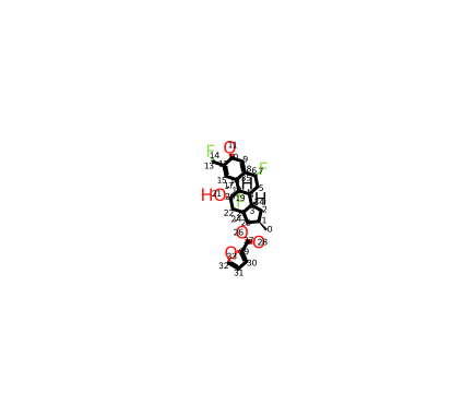 C[C@@H]1C[C@H]2[C@@H]3C[C@H](F)C4=CC(=O)C(CF)=C[C@]4(C)[C@@]3(F)[C@@H](O)C[C@]2(C)[C@H]1OC(=O)c1ccco1